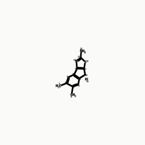 Cc1cc2c(cc1C)-c1nc(N)sc1C2.I